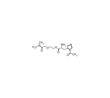 CC(=O)n1cncc1CC(N)C(=O)OCCOCC(=O)N(C)C